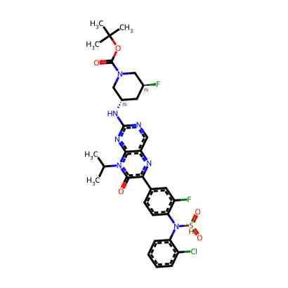 CC(C)n1c(=O)c(-c2ccc(N(c3ccccc3Cl)[SH](=O)=O)c(F)c2)nc2cnc(N[C@H]3C[C@H](F)CN(C(=O)OC(C)(C)C)C3)nc21